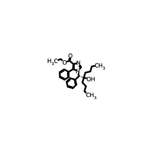 CCCCC(O)(CCCC)[C@H](c1ccccc1)n1cnc(C(=O)OCC)c1-c1ccccc1